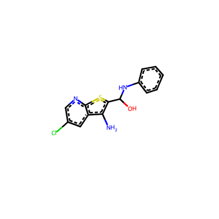 Nc1c(C(O)Nc2ccccc2)sc2ncc(Cl)cc12